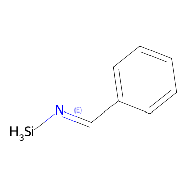 [SiH3]/N=C/c1ccccc1